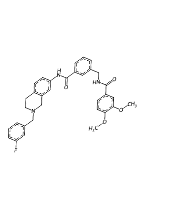 COc1ccc(C(=O)NCc2cccc(C(=O)Nc3ccc4c(c3)CN(Cc3cccc(F)c3)CC4)c2)cc1OC